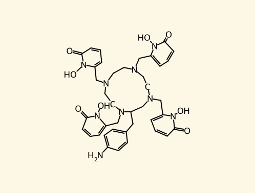 Nc1ccc(CC2CN(Cc3cccc(=O)n3O)CCN(Cc3cccc(=O)n3O)CCN(Cc3cccc(=O)n3O)CCN2Cc2cccc(=O)n2O)cc1